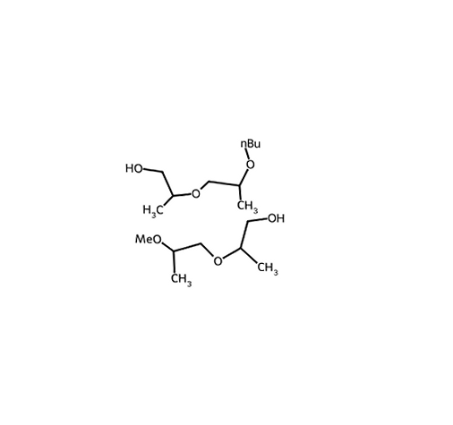 CCCCOC(C)COC(C)CO.COC(C)COC(C)CO